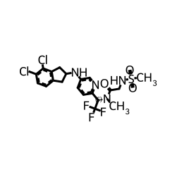 CN(C(=O)CNS(C)(=O)=O)[C@@H](c1ccc(NC2Cc3ccc(Cl)c(Cl)c3C2)cn1)C(F)(F)F